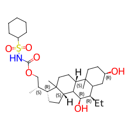 CC[C@@H]1C2C[C@H](O)CCC2(C)[C@H]2CCC3(C)[C@@H]([C@H](C)COC(=O)NS(=O)(=O)C4CCCCC4)CC[C@H]3C2[C@@H]1O